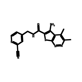 Cc1nnc2sc(C(=O)NCc3ccnc(C#N)c3)c(N)c2c1C